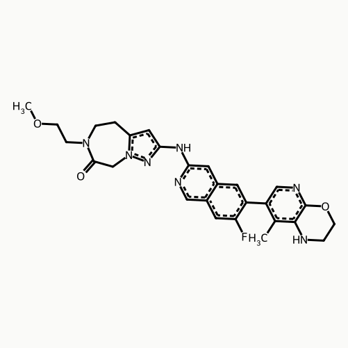 COCCN1CCc2cc(Nc3cc4cc(-c5cnc6c(c5C)NCCO6)c(F)cc4cn3)nn2CC1=O